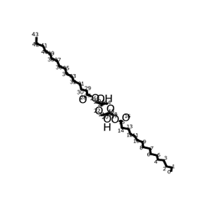 CCCCCCCCCCCCCCCC(=O)OCC1(O)COC(O)(COC(=O)CCCCCCCCCCCCCCC)CO1